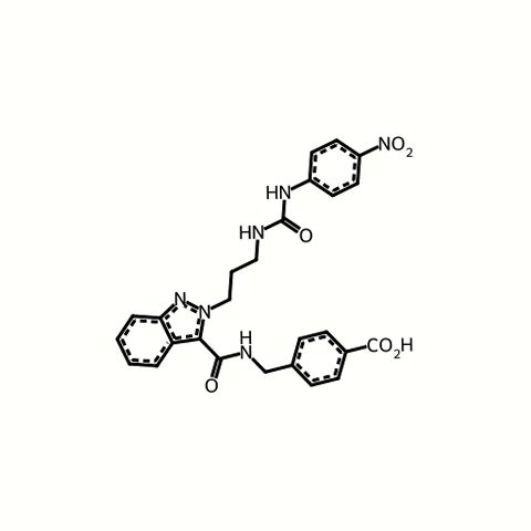 O=C(NCCCn1nc2ccccc2c1C(=O)NCc1ccc(C(=O)O)cc1)Nc1ccc([N+](=O)[O-])cc1